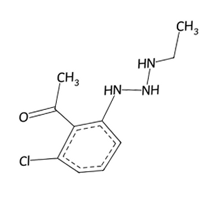 CCNNNc1cccc(Cl)c1C(C)=O